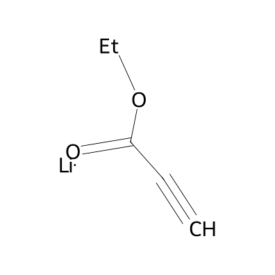 C#CC(=O)OCC.[Li]